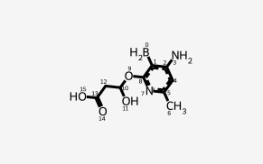 Bc1c(N)cc(C)nc1OC(O)CC(=O)O